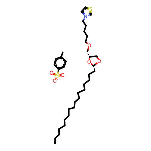 CCCCCCCCCCCCCCCCC[C@@H]1OC[C@@H](COCCCCC[n+]2ccsc2)O1.Cc1ccc(S(=O)(=O)[O-])cc1